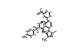 Cc1nc(C(F)(F)F)cn1-c1ccc(-c2cccc([S+](C)[O-])c2)cc1N(N)/C(=C\N)C(C)(C)c1ccc(Cl)cc1